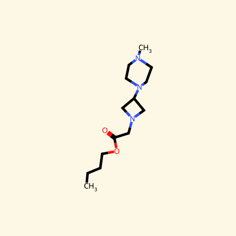 CCCCOC(=O)CN1CC(N2CCN(C)CC2)C1